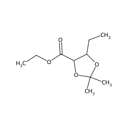 CCOC(=O)C1OC(C)(C)OC1CC